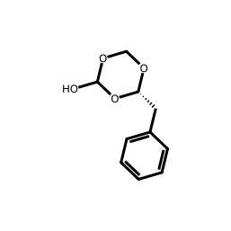 OC1OCO[C@H](Cc2ccccc2)O1